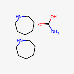 C1CCCNCC1.C1CCCNCC1.NC(=O)O